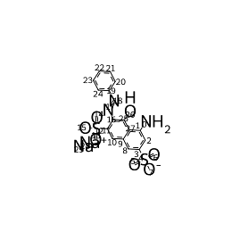 Nc1cc(S(=O)(=O)[O-])cc2cc(S(=O)(=O)[O-])c(N=Nc3ccccc3)c(O)c12.[Na+].[Na+]